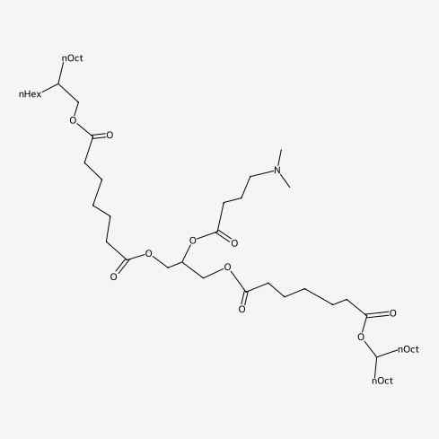 CCCCCCCCC(CCCCCC)COC(=O)CCCCCC(=O)OCC(COC(=O)CCCCCC(=O)OC(CCCCCCCC)CCCCCCCC)OC(=O)CCCN(C)C